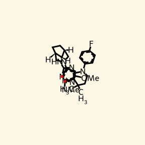 CNc1nc(N[C@H]2[C@@H]3CC[C@H]2CN(c2cnnc(OC)c2)C3)nc2c1C(C)(C)CCN2c1ccc(F)cc1